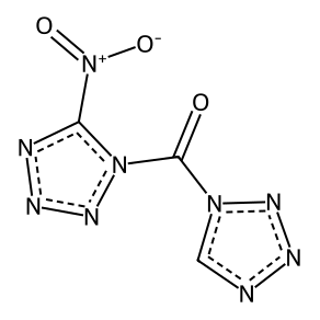 O=C(n1cnnn1)n1nnnc1[N+](=O)[O-]